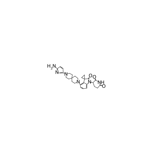 Nc1ccc(N2CCC3(CC2)CCN(c2cccc4c2C2(CC2)C(=O)N4[C@@H]2CCC(=O)NC2=O)CC3)cn1